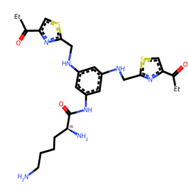 CCC(=O)c1csc(CNc2cc(NCc3nc(C(=O)CC)cs3)cc(NC(=O)[C@@H](N)CCCCN)c2)n1